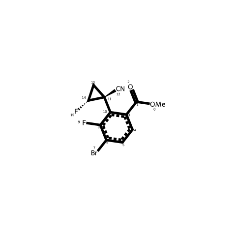 COC(=O)c1ccc(Br)c(F)c1[C@@]1(C#N)C[C@H]1F